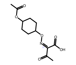 CC(=O)OC1CCC(O/N=C(/C(C)=O)C(=O)O)CC1